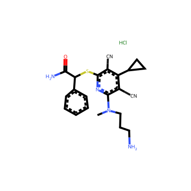 CN(CCCN)c1nc(SC(C(N)=O)c2ccccc2)c(C#N)c(C2CC2)c1C#N.Cl